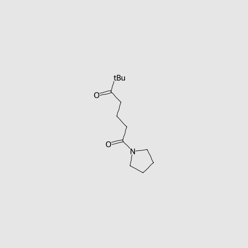 CC(C)(C)C(=O)CCCC(=O)N1CCCC1